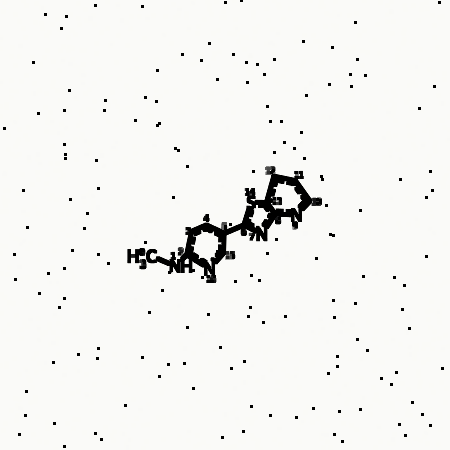 CNc1ccc(-c2nc3ncccc3s2)cn1